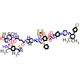 Cc1ncsc1-c1ccc([C@H](C)NC(=O)[C@@H]2C[C@@H](O)CN2C(=O)[C@@H](NC(=O)CCCC(=O)N2C[C@H]3CN(CC[C@H](CSc4ccccc4)Nc4ccc(S(=O)(=O)NC(=O)c5ccc(N6CCN(CC7=C(c8ccc(Cl)cc8)CCC(C)(C)C7)CC6)cc5)cc4S(=O)(=O)C(F)(F)F)C[C@H]3C2)C(C)(C)C)cc1